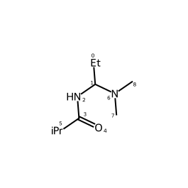 CCC(NC(=O)C(C)C)N(C)C